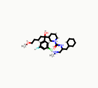 CNCC(CC1CCCCC1)NC(=O)N1CCCC(C(O)(CCCCOC)c2cc(F)cc(Cl)c2)C1